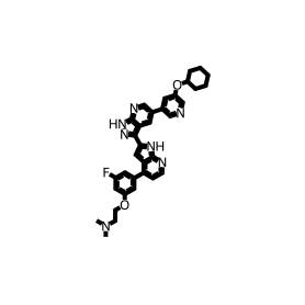 CN(C)CCOc1cc(F)cc(-c2ccnc3[nH]c(-c4n[nH]c5ncc(-c6cncc(OC7CCCCC7)c6)cc45)cc23)c1